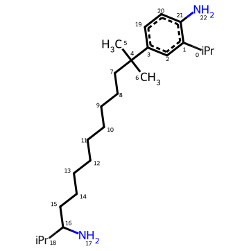 CC(C)c1cc(C(C)(C)CCCCCCCCCC(N)C(C)C)ccc1N